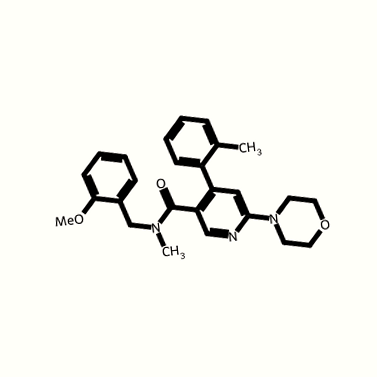 COc1ccccc1CN(C)C(=O)c1cnc(N2CCOCC2)cc1-c1ccccc1C